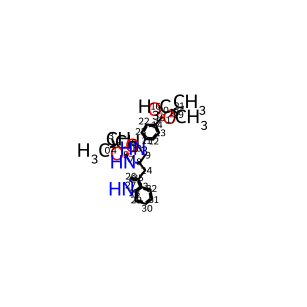 CC(C)(C)OC(=O)NC(CNc1ccc(C(=O)OC(C)(C)C)cc1)Cc1c[nH]c2ccccc12